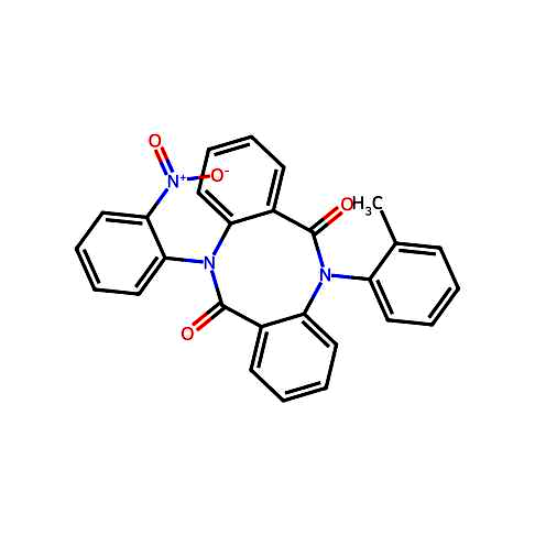 Cc1ccccc1N1C(=O)c2ccccc2N(c2ccccc2[N+](=O)[O-])C(=O)c2ccccc21